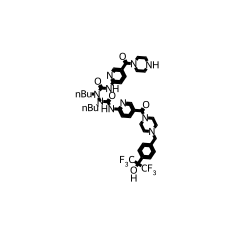 CCCCN(C(=O)Nc1ccc(C(=O)N2CCNCC2)cn1)N(CCCC)C(=O)Nc1ccc(C(=O)N2CCN(Cc3ccc(C(O)(C(F)(F)F)C(F)(F)F)cc3)CC2)cn1